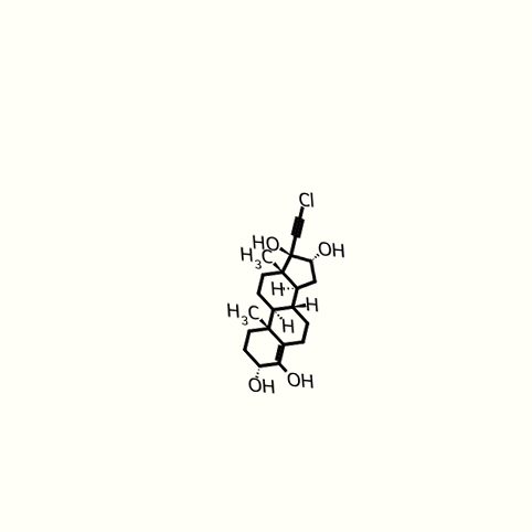 C[C@]12CC[C@@H](O)C(O)=C1CC[C@@H]1[C@@H]2CC[C@@]2(C)[C@H]1C[C@@H](O)[C@@]2(O)C#CCl